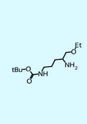 CCOCC(N)CCCNC(=O)OC(C)(C)C